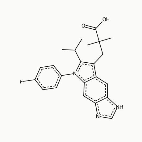 CC(C)c1c(CC(C)(C)C(=O)O)c2cc3[nH]cnc3cc2n1-c1ccc(F)cc1